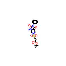 CC(C)(C)OC(=O)CCS(=O)(=O)N1CCC2(CC1)NC(=O)N(c1ccccc1)C2=O